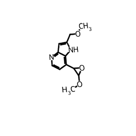 COCc1cc2nccc(C3OC3OC)c2[nH]1